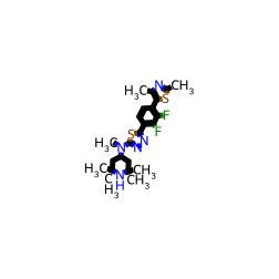 Cc1nc(C)c(-c2ccc(-c3nnc(N(C)C4CC(C)(C)NC(C)(C)C4)s3)c(F)c2F)s1